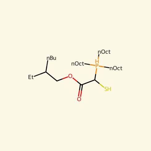 CCCCCCCC[PH](CCCCCCCC)(CCCCCCCC)C(S)C(=O)OCC(CC)CCCC